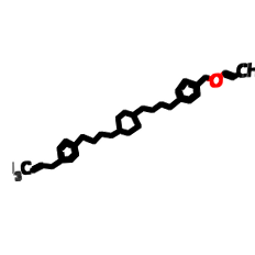 CC=CCc1ccc(CCCCC2CCC(CCCCc3ccc(COC=CC)cc3)CC2)cc1